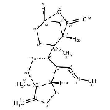 C=C1CC[C@H]2[C@H](/C=N/O)[C@@H]([C@@]3(C)CC[C@H]4C[C@@H]3C(=O)O4)CC[C@]12C